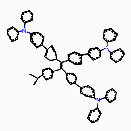 CC(C)c1ccc(/C(=C(/c2ccc(-c3ccc(N(c4ccccc4)c4ccccc4)cc3)cc2)C2C=CC(c3ccc(N(c4ccccc4)c4ccccc4)cc3)=CC2)c2ccc(-c3ccc(N(c4ccccc4)c4ccccc4)cc3)cc2)cc1